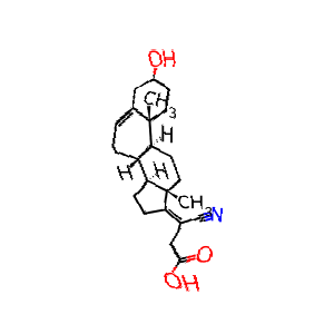 C[C@]12CC[C@H](O)CC1=CC[C@@H]1[C@@H]2CC[C@]2(C)C(=C(C#N)CC(=O)O)CC[C@@H]12